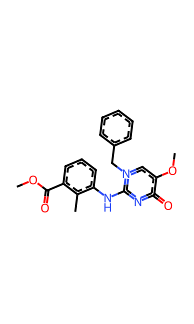 COC(=O)c1cccc(Nc2nc(=O)c(OC)cn2Cc2ccccc2)c1C